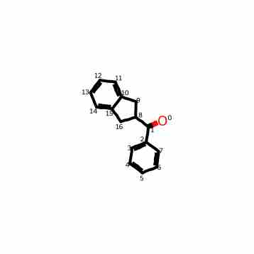 O=C(c1ccccc1)C1Cc2ccccc2C1